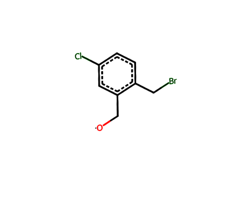 [O]Cc1cc(Cl)ccc1CBr